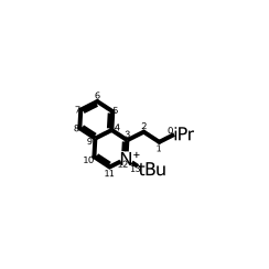 CC(C)CCc1c2ccccc2cc[n+]1C(C)(C)C